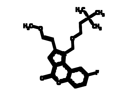 CO/C=C/c1cc2c(=O)oc3ccc(F)cc3c2n1COCCS(C)(C)C